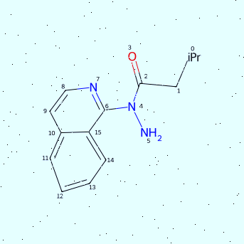 CC(C)CC(=O)N(N)c1nccc2ccccc12